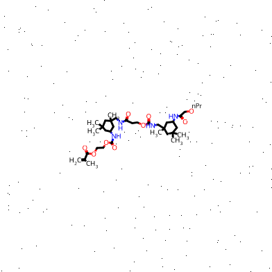 C=C(C)C(=O)OCCOC(=O)NC1CC(C)(C)CC(C)(CNC(=O)CCOC(=O)NCC2(C)CC(NC(=O)COCCC)CC(C)(C)C2)C1